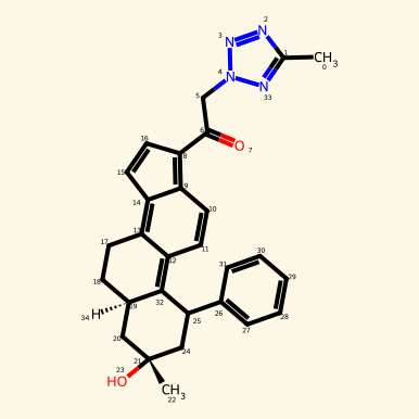 Cc1nnn(CC(=O)C2=c3ccc4c(c3C=C2)CC[C@@H]2C[C@@](C)(O)CC(c3ccccc3)C=42)n1